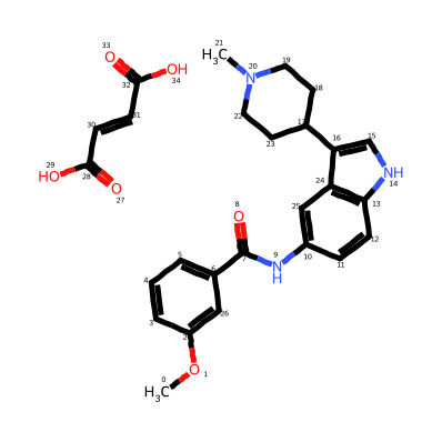 COc1cccc(C(=O)Nc2ccc3[nH]cc(C4CCN(C)CC4)c3c2)c1.O=C(O)/C=C/C(=O)O